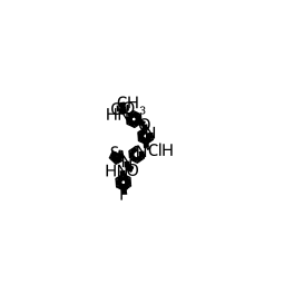 CS(=O)(=O)Nc1ccc(Oc2ccc(CN3CCC(N(C(=O)Nc4ccc(F)cc4)c4ccsc4)CC3)cn2)cc1.Cl